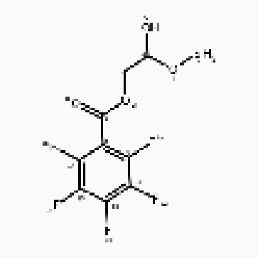 O=C(OCC(O)O[SiH3])c1c(F)c(F)c(F)c(F)c1F